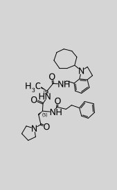 C[C@H](NC(=O)[C@H](CC(=O)N1CCCC1)NC(=O)CCc1ccccc1)C(=O)NCc1cccc2c1N(C1CCCCCCC1)CC2